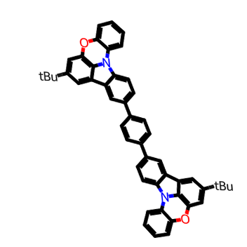 CC(C)(C)c1cc2c3c(c1)c1cc(-c4ccc(-c5ccc6c(c5)c5cc(C(C)(C)C)cc7c5n6-c5ccccc5O7)cc4)ccc1n3-c1ccccc1O2